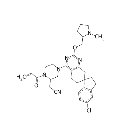 C=CC(=O)N1CCN(c2nc(OCC3CCCN3C)nc3c2CCC2(CCc4cc(Cl)ccc42)C3)CC1CC#N